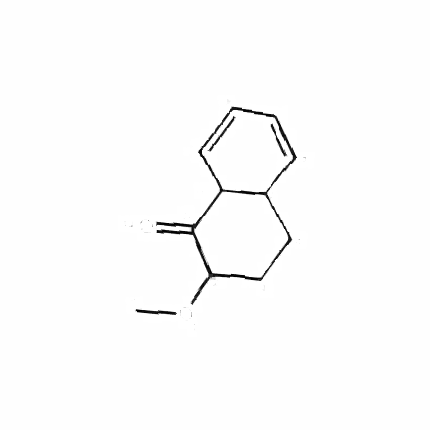 COC1CCC2C=CC=CC2C1=O